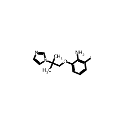 CC(C)(COc1cccc(I)c1N)n1ccnc1